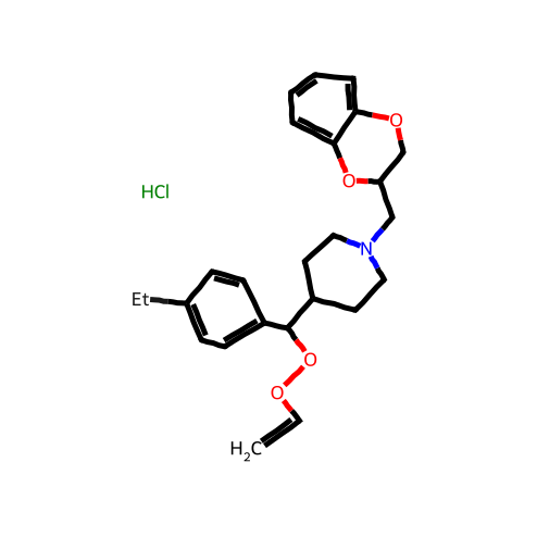 C=COOC(c1ccc(CC)cc1)C1CCN(CC2COc3ccccc3O2)CC1.Cl